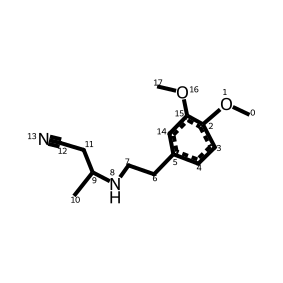 COc1ccc(CCNC(C)CC#N)cc1OC